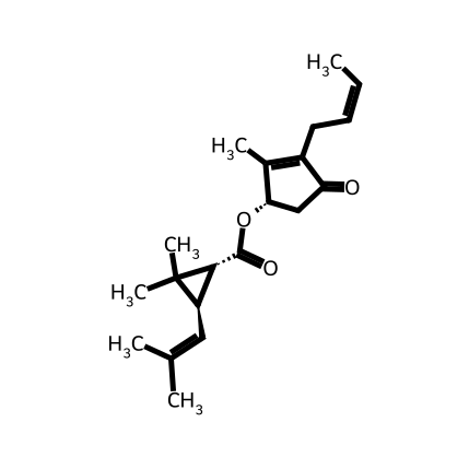 C/C=C\CC1=C(C)[C@@H](OC(=O)[C@@H]2[C@@H](C=C(C)C)C2(C)C)CC1=O